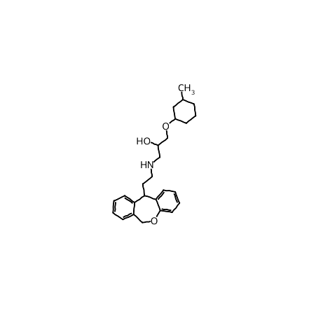 CC1CCCC(OCC(O)CNCCC2c3ccccc3COc3ccccc32)C1